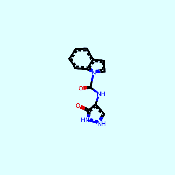 O=C(Nc1c[nH][nH]c1=O)n1ccc2ccccc21